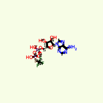 Nc1ncnc2c1ncn2[C@@H]1O[C@H](COP(=O)(O)OP(=O)(O)SC(F)(F)F)C(O)C1O